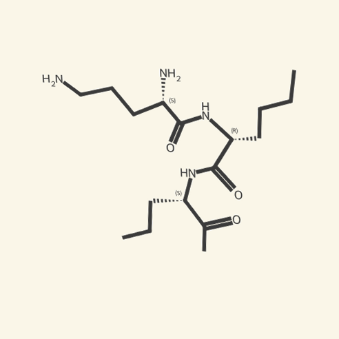 CCCC[C@@H](NC(=O)[C@@H](N)CCCN)C(=O)N[C@@H](CCC)C(C)=O